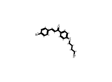 O=C(C=Cc1ccc(Br)cc1)c1ccc(OCCCCBr)cc1